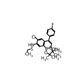 CC/C=C(/c1ccc(F)cc1)c1cc(Cl)c(NSCC)cc1B1OC(C)(C)C(C)(C)O1